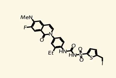 CCc1cc(-n2ccc3cc(NC)c(F)cc3c2=O)ccc1NC(=O)NS(=O)(=O)c1ccc(CI)s1